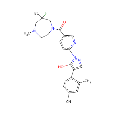 CCC1(F)CN(C)CCN(C(=O)c2ccc(-n3ncc(-c4ccc(C#N)cc4C)c3O)nc2)C1